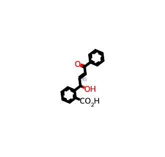 O=C(/C=C/C(O)c1ccccc1C(=O)O)c1ccccc1